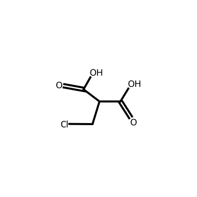 O=C(O)C(CCl)C(=O)O